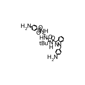 CC(C)(C)C(NC(=O)c1nn(Cc2ccc(N)cc2)c2ccccc12)C(=O)NCCNS(=O)(=O)c1ccc(N)cc1